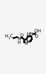 CCCNC(=O)c1cnn2ccc(NC(=O)O)cc12